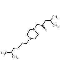 CC(C)CCCCN1CCN(CC(=O)CC(C)C)CC1